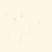 CCC(CO)c1ccccc1.O=C(O)C(=O)O